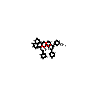 CC1C=CC=C(c2cc(-c3ccccc3)nc(-c3ccc(-c4cccc5cccc(-c6nc(-c7ccccc7)nc(-c7ccccc7)n6)c45)cc3)n2)C1